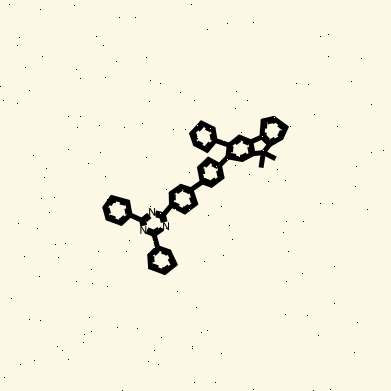 CC1(C)c2ccccc2-c2cc(-c3ccccc3)c(-c3ccc(-c4ccc(-c5nc(-c6ccccc6)nc(-c6ccccc6)n5)cc4)cc3)cc21